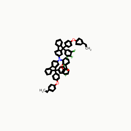 C=Cc1ccc(Oc2ccc(C3(c4cc(F)c(F)c(F)c4)c4ccccc4-c4ccc(N(c5ccc6c(c5)C(c5ccc(Oc7ccc(C=C)cc7)cc5)(c5cc(F)c(F)c(F)c5)c5ccccc5-6)c5cccc6c5oc5ccccc56)cc43)cc2)cc1